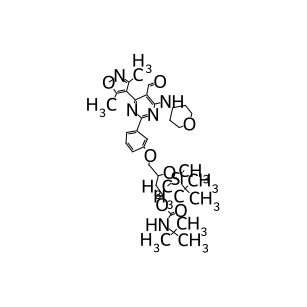 Cc1noc(C)c1-c1nc(-c2cccc(OCC(CCOC(=O)NC(C)(C)C)O[Si](C)(C)C(C)(C)C)c2)nc(NC2CCOCC2)c1C=O